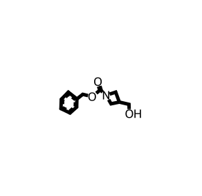 O=C(OCc1ccccc1)N1CC(CO)C1